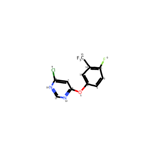 Fc1ccc(Oc2cc(Cl)ncn2)cc1C(F)(F)F